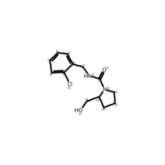 O=C(NCc1ccccc1Cl)N1CCCC1CO